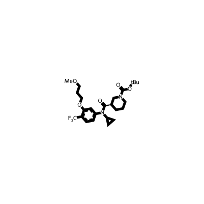 COCCCOc1cc(N(C(=O)[C@@H]2CCCN(C(=O)OC(C)(C)C)C2)C2CC2)ccc1C(F)(F)F